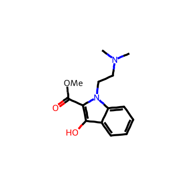 COC(=O)c1c(O)c2ccccc2n1CCN(C)C